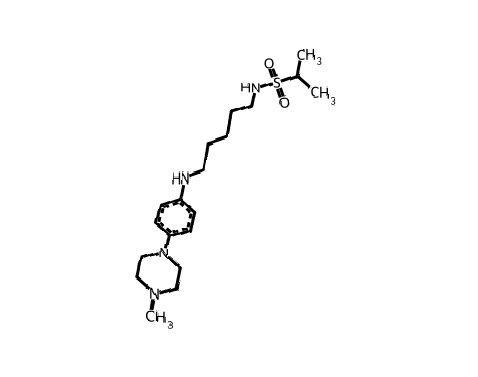 CC(C)S(=O)(=O)NCCCCCNc1ccc(N2CCN(C)CC2)cc1